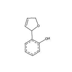 Oc1ccccc1C1C=CCO1